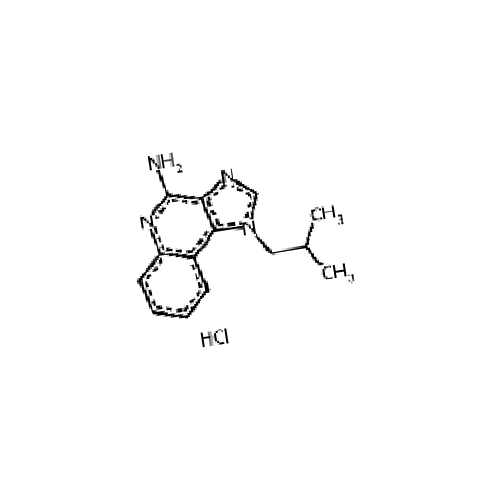 CC(C)Cn1cnc2c(N)nc3ccccc3c21.Cl